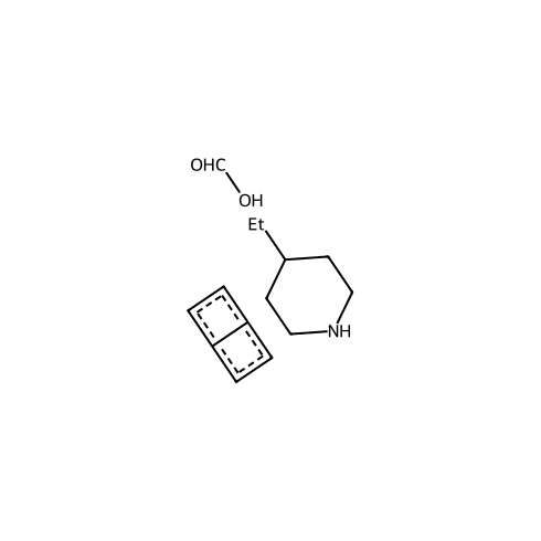 CCC1CCNCC1.O=CO.c1cc2ccc1-2